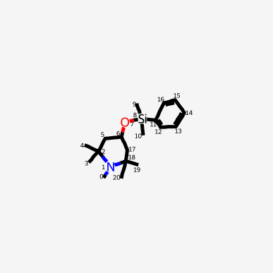 CN1C(C)(C)CC(O[Si](C)(C)c2ccccc2)CC1(C)C